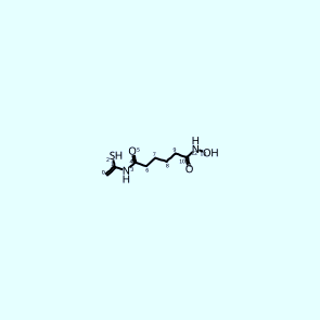 C=C(S)NC(=O)CCCCC(=O)NO